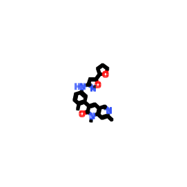 Cc1cc2c(cn1)cc(-c1cc(Nc3cc(C4CCCO4)on3)ccc1C)c(=O)n2C